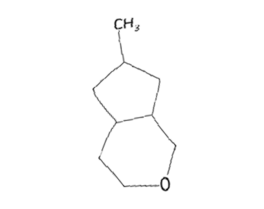 CC1CC2CCOCC2C1